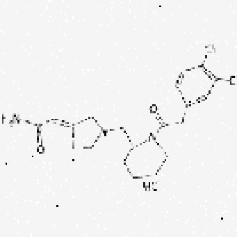 Cl.NC(=O)C=C1CCN(CC2CCCCN2C(=O)Cc2ccc(Cl)c(Cl)c2)C1